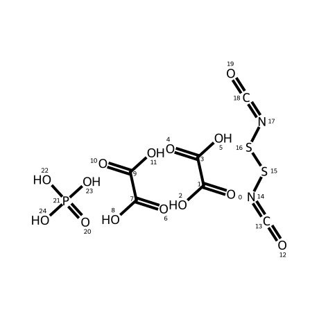 O=C(O)C(=O)O.O=C(O)C(=O)O.O=C=NSSN=C=O.O=P(O)(O)O